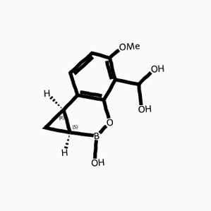 COc1ccc2c(c1C(O)O)OB(O)[C@H]1C[C@@H]21